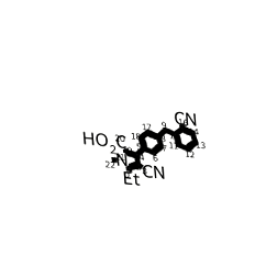 CCc1c(C#N)c(-c2ccc(Cc3ccccc3C#N)cc2)c(C(=O)O)n1C